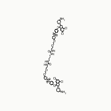 N[C@@H]1CCCN([C@H]2Cc3c(Cl)cc(Cl)cc3[C@@H]2Oc2ccc(S(=O)(=O)N3CC[C@H](OCCOCCNC(=O)NCCCCNC(=O)NCCOCCO[C@H]4CCN(S(=O)(=O)c5ccc(O[C@H]6c7cc(Cl)cc(Cl)c7C[C@@H]6N6CCC[C@@H](N)C6)cc5)C4)C3)cc2)C1